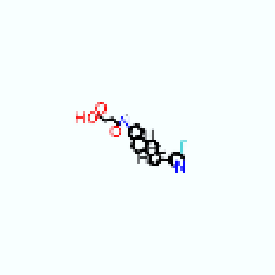 CN(C(=O)CCC(=O)O)c1ccc2c(c1)CC[C@@H]1[C@@H]2CC[C@]2(C)C(c3cncc(F)c3)=CC[C@@H]12